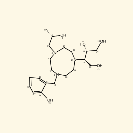 C[C@H](O)CN1CCN(Cc2ccccc2O)CCN([C@H](CO)[C@H](O)CO)CC1